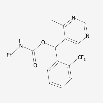 CCNC(=O)OC(c1ccccc1C(F)(F)F)c1cncnc1C